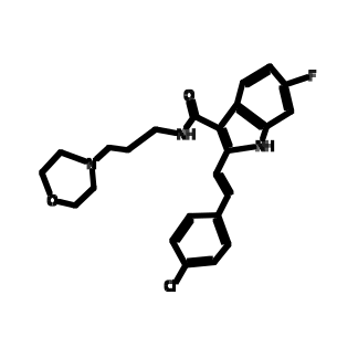 O=C(NCCCN1CCOCC1)c1c(/C=C/c2ccc(Cl)cc2)[nH]c2cc(F)ccc12